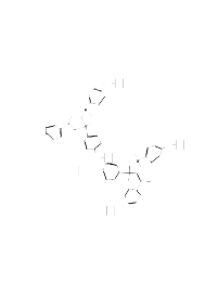 CC(=CC(C)(CC(C)(C)c1ccc(O)cc1)c1ccc(O)cc1)c1ccc(O)cc1.CC(CC(C)(CC(C)(C)c1ccc(O)cc1)c1ccc(O)cc1)c1ccc(O)cc1